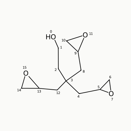 OCCC(CC1CO1)(CC1CO1)CC1CO1